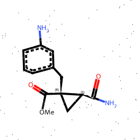 COC(=O)[C@@]1(Cc2cccc(N)c2)C[C@@H]1C(N)=O